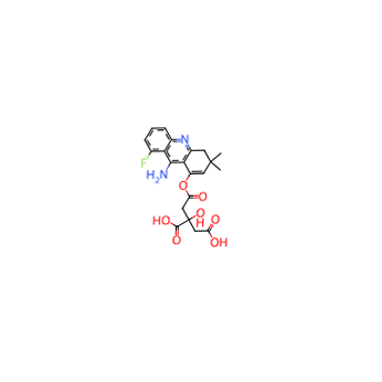 CC1(C)C=C(OC(=O)CC(O)(CC(=O)O)C(=O)O)c2c(nc3cccc(F)c3c2N)C1